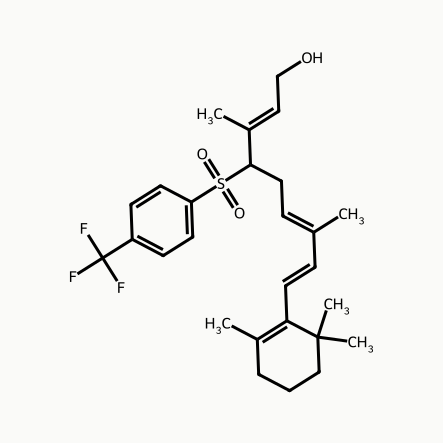 CC(C=CC1=C(C)CCCC1(C)C)=CCC(C(C)=CCO)S(=O)(=O)c1ccc(C(F)(F)F)cc1